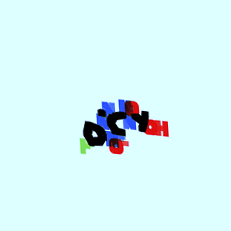 Cc1c2c(-c3noc(C(C)(C)O)n3)ncn2c2ccc(F)cc2[n+]1[O-]